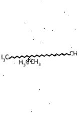 CCCC=CCC=CCCCCCCCCCC(CCCCCCCCC)N(C)C